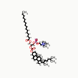 CCCCCCCCCCCCCCCC(=O)OC[C@H](CO[PH](=O)OCC[N+](C)(C)C)OC(=O)OC1CC[C@]2(C)C(=CCC3C2CC[C@]2(C)C3CC[C@H]2[C@@H](C)CCCC(C)C)C1